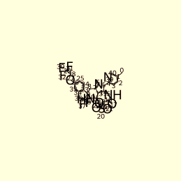 Cc1ccc(C2N=C3C[C@]4(NC(=O)C3=C2NC(=O)CS(C)(=O)=O)c2ccc(OCC(F)(F)F)cc2CC4(F)F)nc1